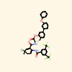 CC1(Cl)C=C(C(=O)N[C@@H](Cc2ccc(-c3cccc(Oc4ccccc4)c3)cc2)C(=O)O)C(NC(=O)c2cc(C(F)(F)F)cc(C(F)(F)F)c2)=CC1